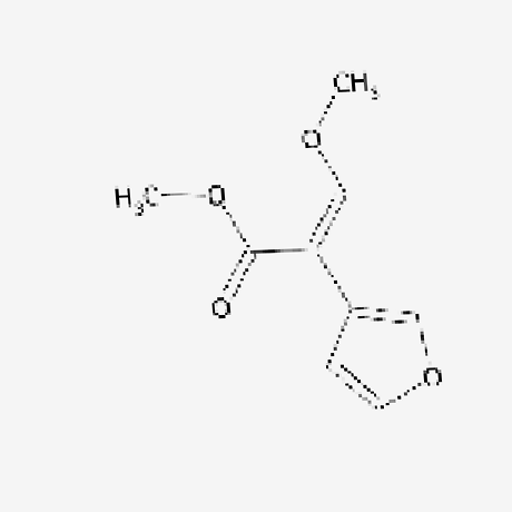 COC=C(C(=O)OC)c1ccoc1